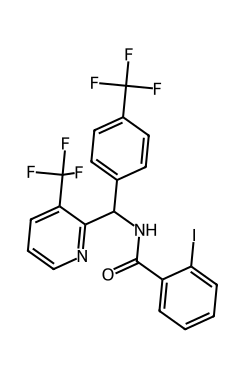 O=C(NC(c1ccc(C(F)(F)F)cc1)c1ncccc1C(F)(F)F)c1ccccc1I